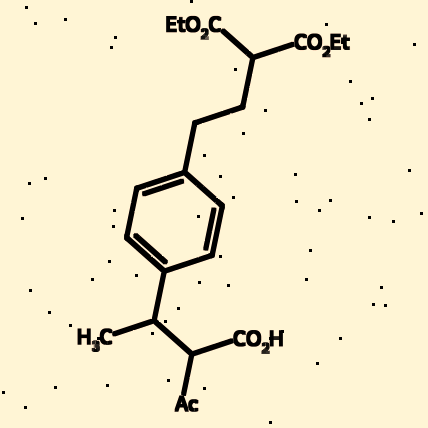 CCOC(=O)C(CCc1ccc(C(C)C(C(C)=O)C(=O)O)cc1)C(=O)OCC